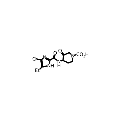 CCc1[nH]c(C(=O)NC2CCN(C(=O)O)CC2=O)nc1Cl